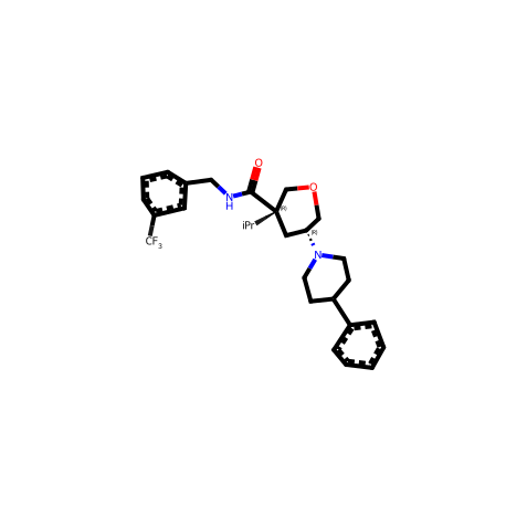 CC(C)[C@@]1(C(=O)NCc2cccc(C(F)(F)F)c2)COC[C@H](N2CCC(c3ccccc3)CC2)C1